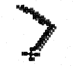 O.O.O.O.O.O.O.O.O.O.O.O.O.O.O.O.O.O.O[Si](O)(O)O.[AlH3]